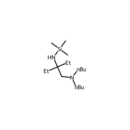 CCCCN(CCCC)CC(CC)(CC)N[Si](C)(C)C